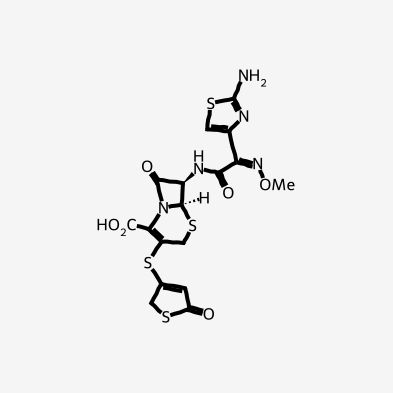 CO/N=C(\C(=O)N[C@@H]1C(=O)N2C(C(=O)O)=C(SC3=CC(=O)SC3)CS[C@H]12)c1csc(N)n1